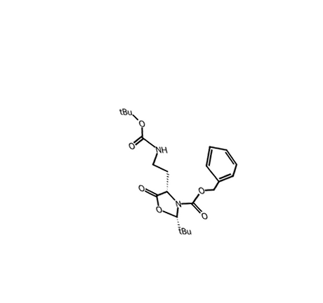 CC(C)(C)OC(=O)NCC[C@H]1C(=O)O[C@@H](C(C)(C)C)N1C(=O)OCc1ccccc1